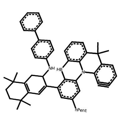 CCCCCc1cc(C2=CC3=C(CC2Nc2ccc(-c4ccccc4)cc2)C(C)(C)CCC3(C)C)c2c(c1)N1c3c#cccc3C(C)(C)c3cccc(c31)B2